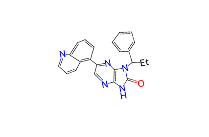 CCC(c1ccccc1)n1c(=O)[nH]c2ncc(-c3cccc4ncccc34)nc21